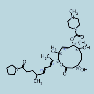 C/C(=C\C=C\C(C)CCC(=O)N1CCCC1)[C@H]1OC(=O)C[C@@H](O)CC[C@](C)(O)[C@@H](OC(=O)N2CCN(C)CC2)/C=C/[C@@H]1C